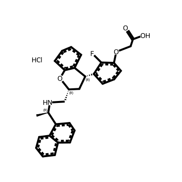 C[C@@H](NC[C@H]1C[C@@H](c2cccc(OCC(=O)O)c2F)c2ccccc2O1)c1cccc2ccccc12.Cl